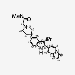 CNC(=O)CN1CCC(c2ccc3[nH]c(-c4ccn5nccc5c4)c(C(C)C)c3c2)CC1